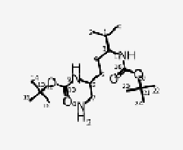 CC(C)C(CCC(CN)NC(=O)OC(C)(C)C)NC(=O)OC(C)(C)C